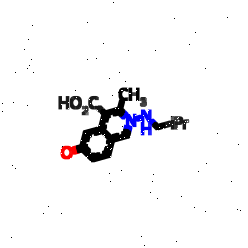 Cc1c(C(=O)O)c2cc(=O)ccc-2cn1NCC(C)C